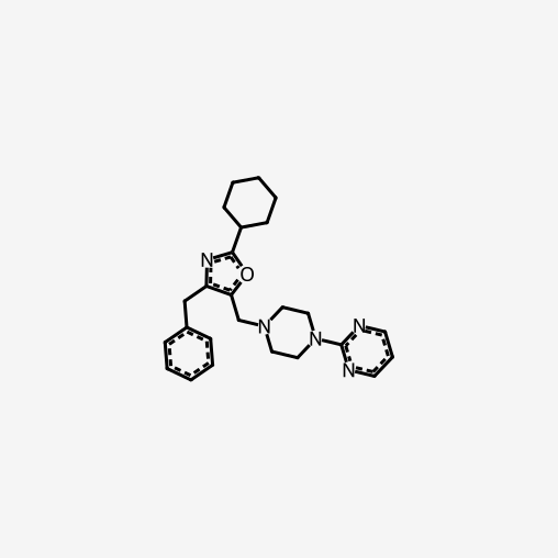 c1ccc(Cc2nc(C3CCCCC3)oc2CN2CCN(c3ncccn3)CC2)cc1